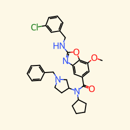 COc1cc(C(=O)N(C2CCCC2)C2CCN(Cc3ccccc3)C2)cc2nc(NCc3cccc(Cl)c3)oc12